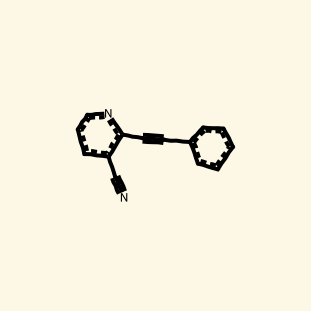 N#Cc1cccnc1C#Cc1ccccc1